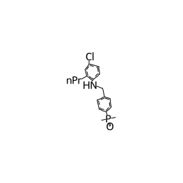 CCCc1cc(Cl)ccc1NCc1ccc(P(C)(C)=O)cc1